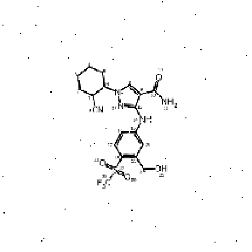 N#CC1CCCCC1n1cc(C(N)=O)c(Nc2ccc(S(=O)(=O)C(F)(F)F)c(CO)c2)n1